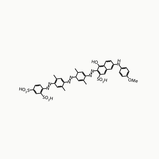 COc1ccc(Nc2ccc3c(O)c(N=NC4=CC(C)C(N=Nc5cc(C)c(N=Nc6ccc(S(=O)(=O)O)cc6S(=O)(=O)O)cc5C)C=C4C)c(S(=O)(=O)O)cc3c2)cc1